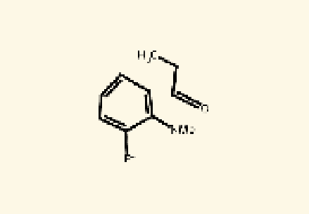 CCC=O.CCc1ccccc1NC